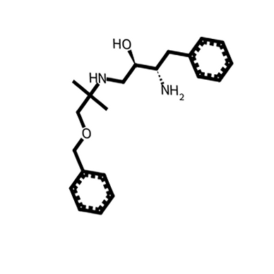 CC(C)(COCc1ccccc1)NC[C@@H](O)[C@@H](N)Cc1ccccc1